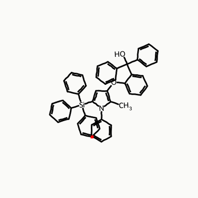 Cc1c(Oc2ccccc2C(O)(c2ccccc2)c2ccccc2)cc([Si](c2ccccc2)(c2ccccc2)c2ccccc2)n1-c1ccccc1